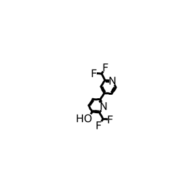 Oc1ccc(-c2ccnc(C(F)F)c2)nc1C(F)F